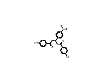 CCN(CC)c1ccc(C(CC(=O)c2ccc(Cl)cc2)CC(=O)c2ccc(Cl)cc2)cc1